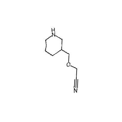 N#CCOCC1CCCNC1